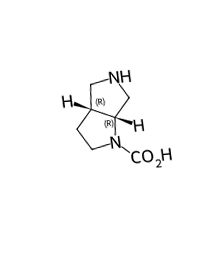 O=C(O)N1CC[C@@H]2CNC[C@@H]21